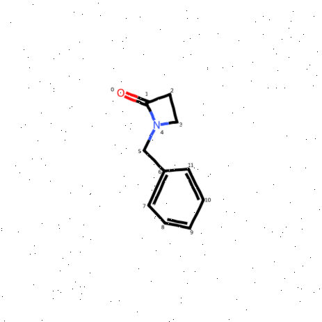 O=C1CCN1Cc1ccccc1